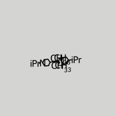 CC(C)C1=CCN(C(C)(C)C(C)(C)C2CCN(C(C)C)CC2)CC1